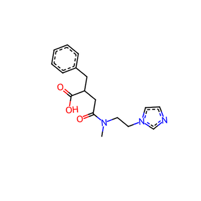 CN(CCn1ccnc1)C(=O)CC(Cc1ccccc1)C(=O)O